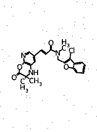 CN(Cc1oc2ccccc2c1Cl)C(=O)C=Cc1cnc2c(c1)NC(C)(C)C(=O)O2